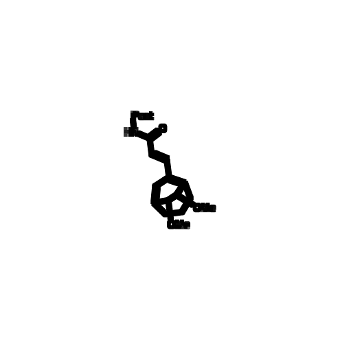 CCCC(C)NC(=O)/C=C/C1=C2CCCC(=C1)C(OC)C2OC